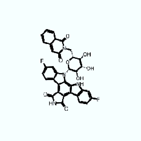 O=C1NC(=O)c2c1c1c3ccc(F)cc3[nH]c1c1c2c2ccc(F)cc2n1[C@@H]1O[C@H](CN2C(=O)C=C3C=CC=CC3C2=O)[C@@H](O)[C@H](O)[C@H]1O